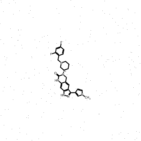 Cn1ccc(-c2n[nH]c3cc4c(cc23)CN([C@@H]2CCCN(Cc3ccc(F)cc3F)C2)C(=O)N4)c1